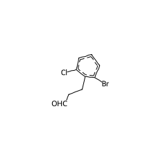 O=CCCc1c(Cl)cccc1Br